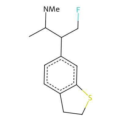 CNC(C)C(CF)c1ccc2c(c1)SCC2